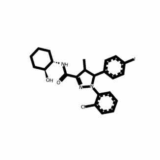 CC1C(C(=O)N[C@H]2CCCC[C@@H]2O)=NN(c2ccccc2Cl)C1c1ccc(I)cc1